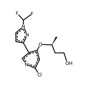 C[C@@H](CCO)Oc1cc(Cl)ncc1-c1ccn(C(F)F)n1